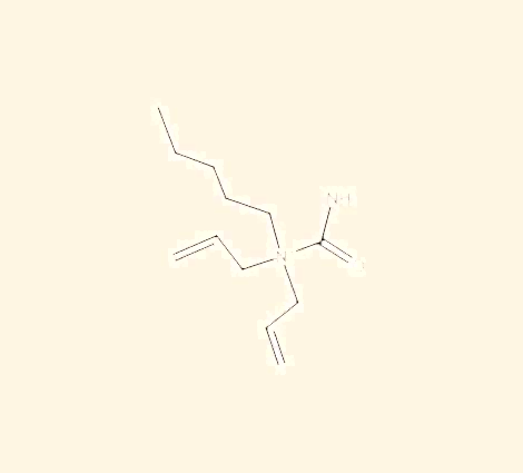 C=CC[N+](CC=C)(CCCCC)C([NH])=O